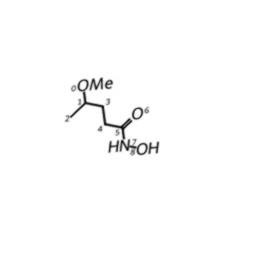 COC(C)CCC(=O)NO